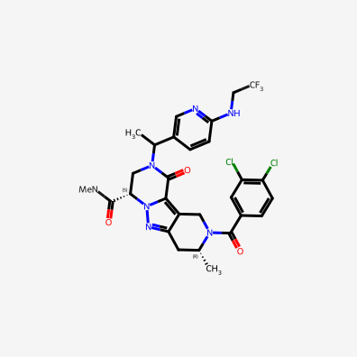 CNC(=O)[C@@H]1CN(C(C)c2ccc(NCC(F)(F)F)nc2)C(=O)c2c3c(nn21)C[C@@H](C)N(C(=O)c1ccc(Cl)c(Cl)c1)C3